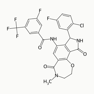 CN1CCOc2c(cc(NC(=O)c3cc(F)cc(C(F)(F)F)c3)c3c2C(=O)NC3c2cc(F)ccc2Cl)C1=O